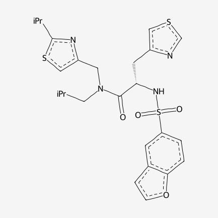 CC(C)CN(Cc1csc(C(C)C)n1)C(=O)[C@H](Cc1cscn1)NS(=O)(=O)c1ccc2occc2c1